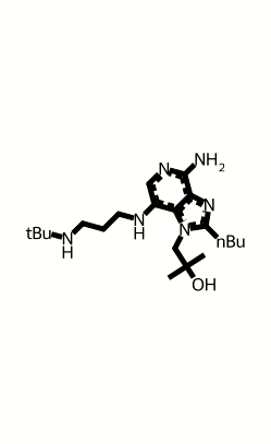 CCCCc1nc2c(N)ncc(NCCCNC(C)(C)C)c2n1CC(C)(C)O